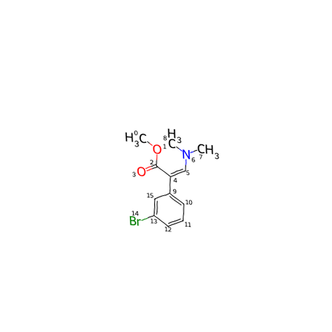 COC(=O)C(=CN(C)C)c1cccc(Br)c1